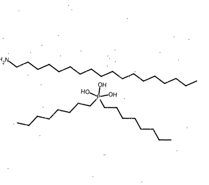 CCCCCCCCCCCCCCCCCCN.CCCCCCCCP(O)(O)(O)CCCCCCCC